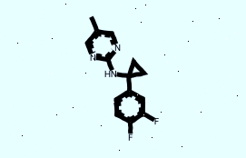 Cc1cnc(NC2(c3ccc(F)c(F)c3)CC2)nc1